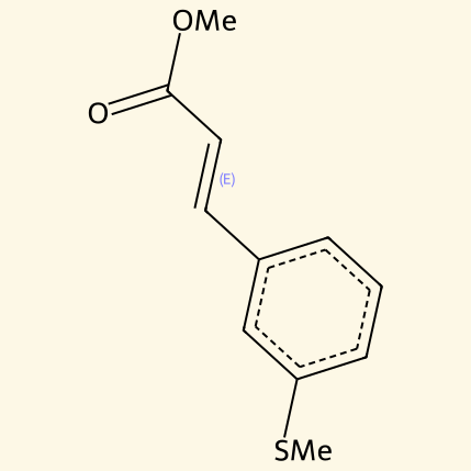 COC(=O)/C=C/c1cccc(SC)c1